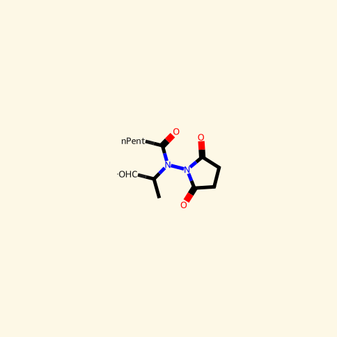 CCCCCC(=O)N(C(C)[C]=O)N1C(=O)CCC1=O